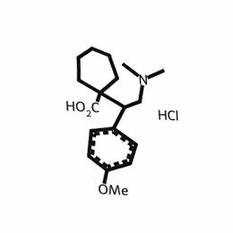 COc1ccc(C(CN(C)C)C2(C(=O)O)CCCCC2)cc1.Cl